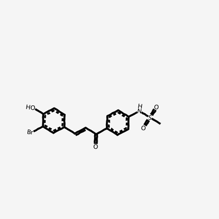 CS(=O)(=O)Nc1ccc(C(=O)C=Cc2ccc(O)c(Br)c2)cc1